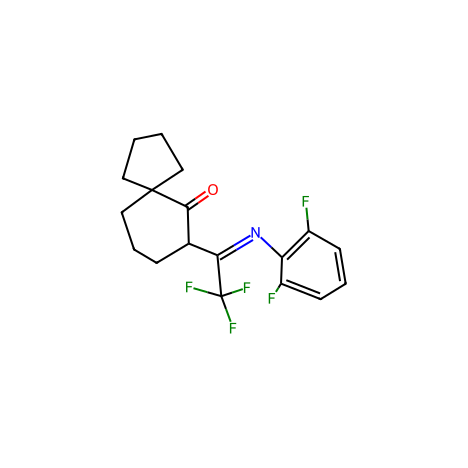 O=C1C(C(=Nc2c(F)cccc2F)C(F)(F)F)CCCC12CCCC2